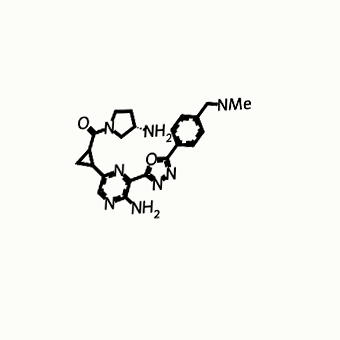 CNCc1ccc(-c2nnc(-c3nc(C4CC4C(=O)N4CC[C@H](N)C4)cnc3N)o2)cc1